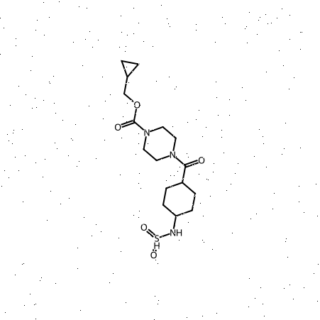 O=C(OCC1CC1)N1CCN(C(=O)C2CCC(N[SH](=O)=O)CC2)CC1